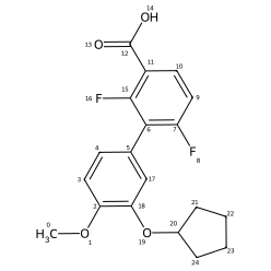 COc1ccc(-c2c(F)ccc(C(=O)O)c2F)cc1OC1CCCC1